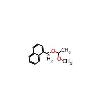 COC(C)O[SiH2]c1cccc2ccccc12